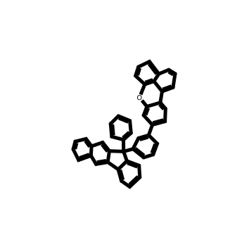 c1ccc(C2(c3cccc(-c4ccc5c(c4)Oc4cccc6cccc-5c46)c3)c3ccccc3-c3cc4ccccc4cc32)cc1